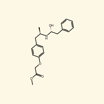 COC(=O)COc1ccc(C[C@@H](C)N[C@H](O)Cc2ccccc2)cc1